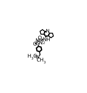 CN(C)Cc1ccc(S(N)(=O)=NC(=O)Nc2c3c(nc4c2CCC4)CCC3)cc1